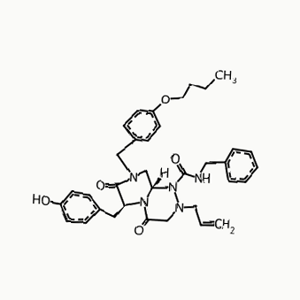 C=CCN1CC(=O)N2[C@@H](Cc3ccc(O)cc3)C(=O)N(Cc3ccc(OCCCC)cc3)C[C@@H]2N1C(=O)NCc1ccccc1